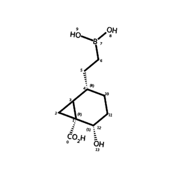 O=C(O)[C@]12CC1[C@H](CCB(O)O)CC[C@@H]2O